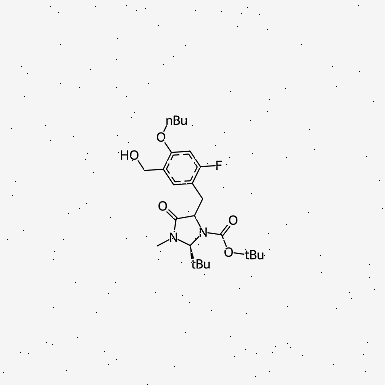 CCCCOc1cc(F)c(CC2C(=O)N(C)[C@H](C(C)(C)C)N2C(=O)OC(C)(C)C)cc1CO